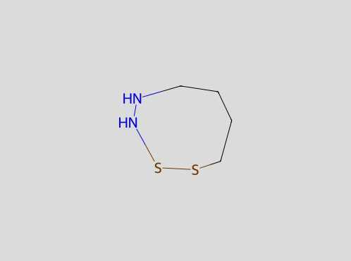 C1CCSSNNC1